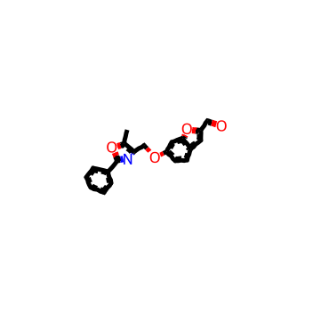 Cc1oc(-c2ccccc2)nc1COc1ccc2cc(C=O)oc2c1